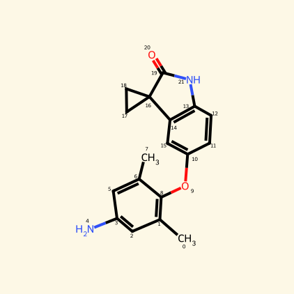 Cc1cc(N)cc(C)c1Oc1ccc2c(c1)C1(CC1)C(=O)N2